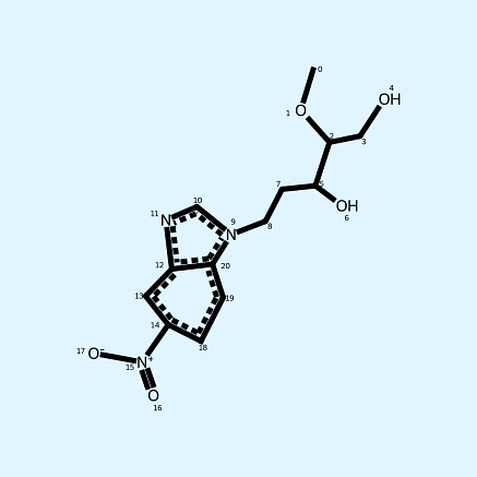 COC(CO)C(O)CCn1cnc2cc([N+](=O)[O-])ccc21